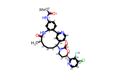 COC(=O)Nc1ccc2c(c1)NC(=O)[C@H](C)CCC[C@H](N1CC[C@H](c3nccc(Cl)c3F)OC1=O)c1ccnc-2c1